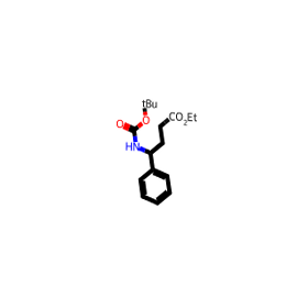 CCOC(=O)CCC(NC(=O)OC(C)(C)C)c1ccccc1